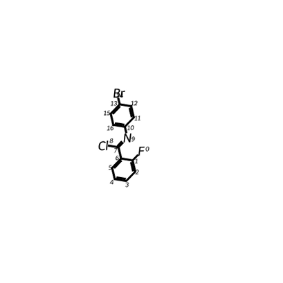 Fc1ccccc1C(Cl)=Nc1ccc(Br)cc1